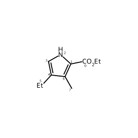 CCOC(=O)c1[nH]cc(CC)c1C